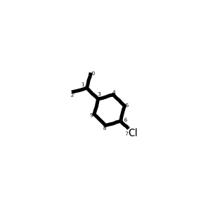 CC(C)C1CCC(Cl)CC1